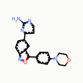 Nc1nccc(-c2ccc3noc(-c4ccc(N5CCOCC5)cc4)c3c2)n1